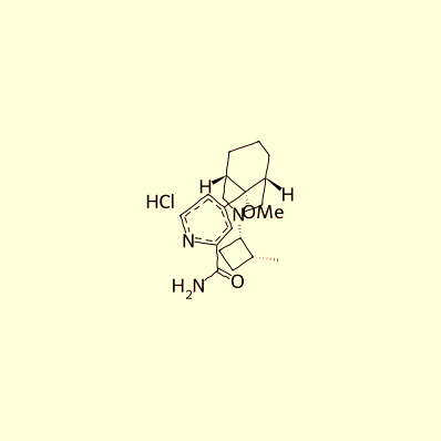 CO[C@@]1(c2ccnc(C(N)=O)c2)[C@@H]2CCC[C@H]1CN([C@H]1CC[C@H]1C)C2.Cl